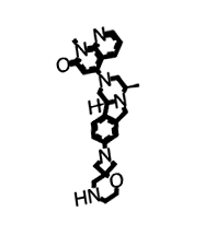 C[C@@H]1CN(c2cc(=O)n(C)c3ncccc23)C[C@@H]2c3ccc(N4CC5(CNCCO5)C4)cc3CN12